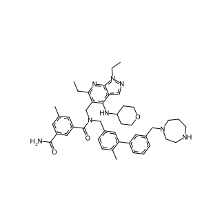 CCc1nc2c(cnn2CC)c(NC2CCOCC2)c1CN(Cc1ccc(C)c(-c2cccc(CN3CCCNCC3)c2)c1)C(=O)c1cc(C)cc(C(N)=O)c1